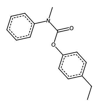 CCc1ccc(OC(=O)N(C)c2ccccc2)cc1